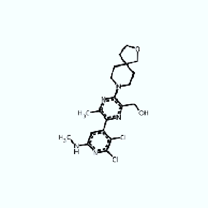 CNc1cc(-c2nc(CO)c(N3CCC4(CCOC4)CC3)nc2C)c(Cl)c(Cl)n1